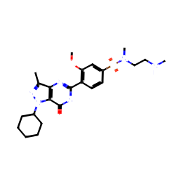 CNCCN(C)S(=O)(=O)c1ccc(-c2nc3c(C)nn(C4CCCCC4)c3c(=O)[nH]2)c(OC)c1